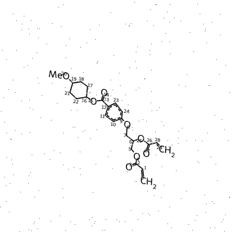 C=CC(=O)OCC(COc1ccc(C(=O)OC2CCC(OC)CC2)cc1)OC(=O)C=C